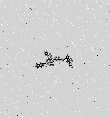 CC(C)(C)[C@H](NC(=O)c1cc2cc(C(F)(F)P(=O)(O)O)ccc2s1)C(=O)N1CCN(C(=O)CC(=O)NCCC#Cc2cccc3c2C(=O)N(C2CCC(=O)NC2=O)C3=O)C[C@H]1C(=O)N1CCC[C@H](c2ccccc2)C1